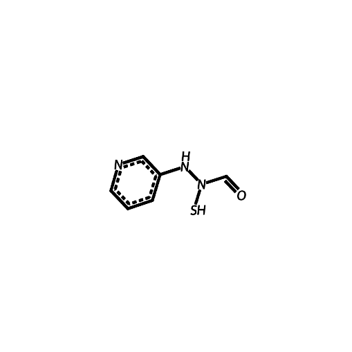 O=CN(S)Nc1cccnc1